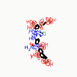 NC(=O)Nc1cc(Nc2nc(Cl)nc(Nc3cc(S(=O)(=O)CCOS(=O)(=O)O)cc(S(=O)(=O)O)c3O)n2)ccc1/N=N/c1cc2c(S(=O)(=O)O)cc(S(=O)(=O)O)cc2cc1S(=O)(=O)O